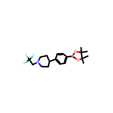 CC1(C)OB(c2ccc(C3CCN(CC(F)(F)F)CC3)cc2)OC1(C)C